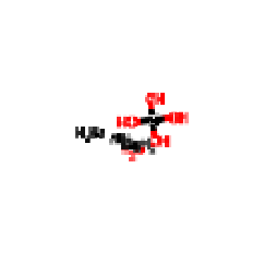 O.O[Si](O)(O)O.[AlH3].[BaH2].[MgH2]